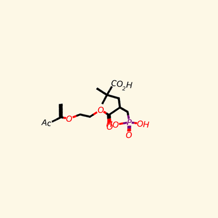 C=C(OCCOC(=O)C(CC(C)(C)C(=O)O)CP(=O)(O)O)C(C)=O